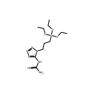 CCO[Si](CCCn1nnnc1NC(=N)N)(OCC)OCC